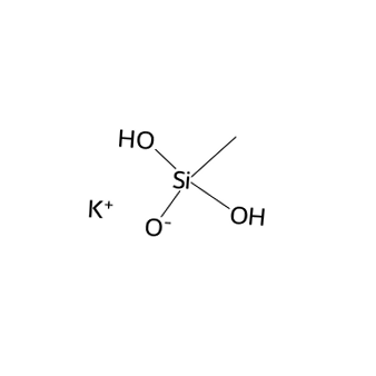 C[Si]([O-])(O)O.[K+]